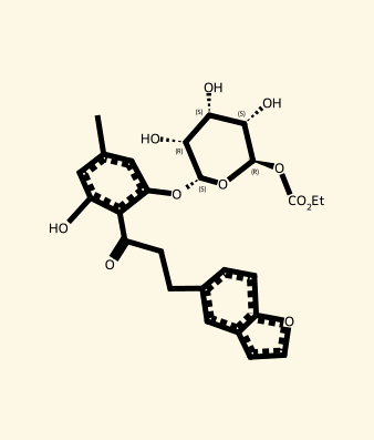 CCOC(=O)O[C@H]1O[C@H](Oc2cc(C)cc(O)c2C(=O)CCc2ccc3occc3c2)[C@H](O)[C@H](O)[C@@H]1O